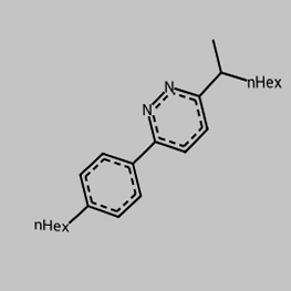 CCCCCCc1ccc(-c2ccc(C(C)CCCCCC)nn2)cc1